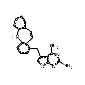 Nc1nc(N)c2c(Cc3cccc4c3C=Cc3ccccc3N4)coc2n1